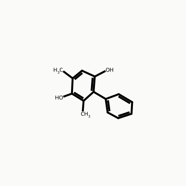 Cc1cc(O)c(-c2ccccc2)c(C)c1O